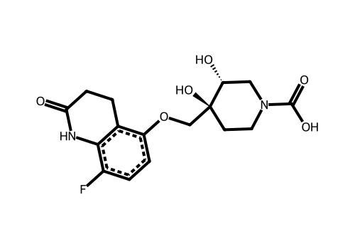 O=C1CCc2c(OC[C@@]3(O)CCN(C(=O)O)C[C@H]3O)ccc(F)c2N1